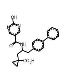 O=C(NC(Cc1ccc(-c2ccccc2)cc1)CC1(C(=O)O)CC1)c1cnc(O)nc1